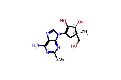 CSc1nc(N)c2ncn(C3=C(O)[C@H](O)[C@@](C)(CO)C3)c2n1